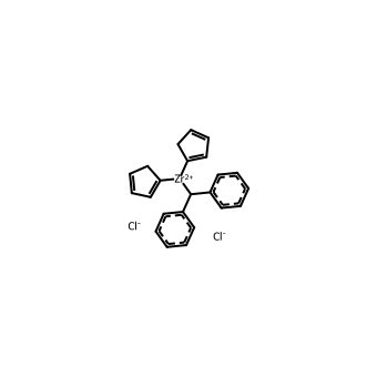 C1=CC[C]([Zr+2]([C]2=CC=CC2)[CH](c2ccccc2)c2ccccc2)=C1.[Cl-].[Cl-]